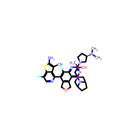 C[C@@H](O)CN1CC2CCC(C1)N2c1nc(N2CC[C@@H](N(C)C)C2)nc2c(F)c(-c3ncc(F)c4sc(N)c(C#N)c34)c3c(c12)COC3